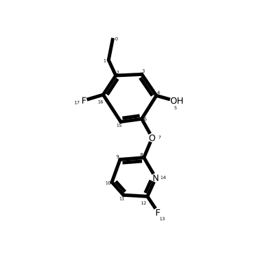 CCc1cc(O)c(Oc2cccc(F)n2)cc1F